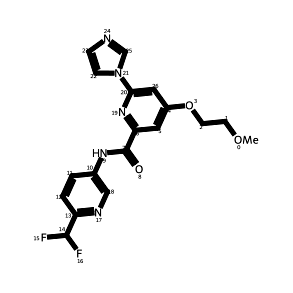 COCCOc1cc(C(=O)Nc2ccc(C(F)F)nc2)nc(-n2ccnc2)c1